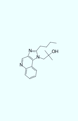 CCCCc1nc2cnc3ccccc3c2n1CC(C)(C)O